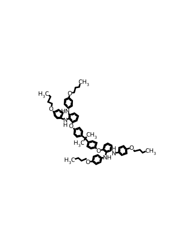 CCCCOc1ccc(Nc2cccc(Oc3ccc(C(C)(C)c4ccc(Oc5cccc(Nc6ccc(OCCCC)cc6)c5Nc5ccc(OCCCC)cc5)cc4)cc3)c2Nc2ccc(OCCCC)cc2)cc1